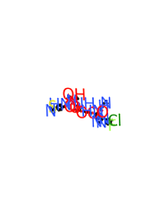 CCCC(CC(=O)N[C@H](C(=O)N1C[C@H](O)C[C@H]1C(=O)NCc1ccc(-c2scnc2C)cc1)C(C)(C)C)OCCCCOc1cc2ncnc(Nc3ccc(F)c(Cl)c3)c2cc1NC(=O)/C=C/CN(C)C